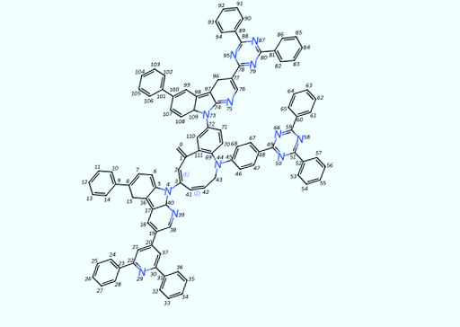 C=C1/C=C(N2C3=CC=C(c4ccccc4)CC3=C3C=C(c4cc(-c5ccccc5)nc(-c5ccccc5)c4)C=NC32)\C=C/CN(c2ccc(-c3nc(-c4ccccc4)nc(-c4ccccc4)n3)cc2)c2ccc(N3C4=NC=C(c5nc(-c6ccccc6)nc(-c6ccccc6)n5)CC4=C4C=C(c5ccccc5)C=CC43)cc21